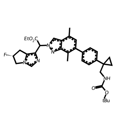 CCOC(=O)C(c1ncn2c1C[C@@H](F)C2)n1cc2c(C)cc(-c3ccc(C4(CNC(=O)OC(C)(C)C)CC4)cc3)c(C)c2n1